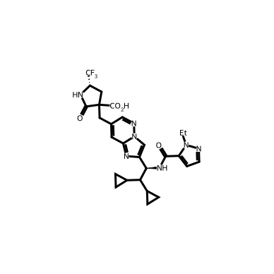 CCn1nccc1C(=O)N[C@H](c1cn2ncc(CC3(C(=O)O)C[C@@H](C(F)(F)F)NC3=O)cc2n1)C(C1CC1)C1CC1